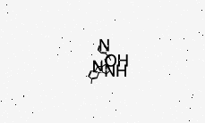 Cc1ccc2c(c1)c1c(n2C)C(CC(C)(O)c2cccnc2)CNC1